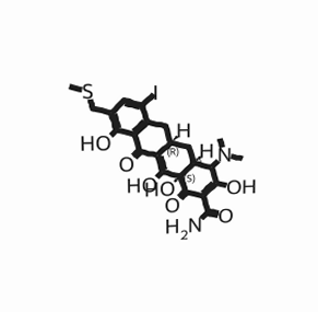 CSCc1cc(I)c2c(c1O)C(=O)C1=C(O)[C@]3(O)C(=O)C(C(N)=O)=C(O)C(N(C)C)[C@@H]3C[C@@H]1C2